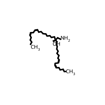 CCCCC/C=C\C/C=C\CCCCCCCCC(CO)(CCN)CCCCCCCC/C=C\C/C=C\CCCCC